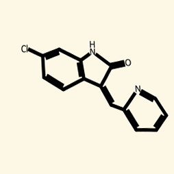 O=C1Nc2cc(Cl)ccc2C1=Cc1ccccn1